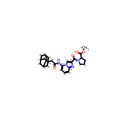 COC(=O)C1CCCN1C(=O)c1cn2c(NC(=O)CC34CC5CC(CC(C5)C3)C4)cccc2n1